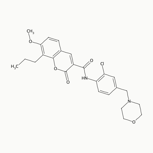 CCCc1c(OC)ccc2cc(C(=O)Nc3ccc(CN4CCOCC4)cc3Cl)c(=O)oc12